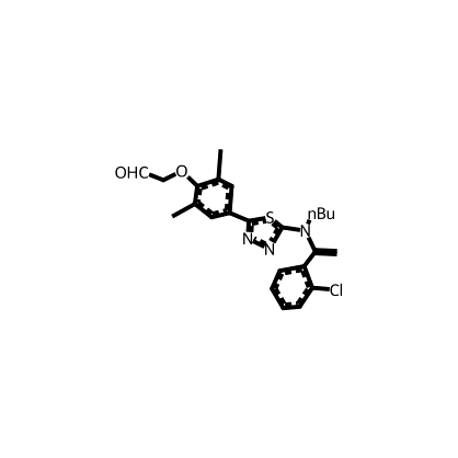 C=C(c1ccccc1Cl)N(CCCC)c1nnc(-c2cc(C)c(OCC=O)c(C)c2)s1